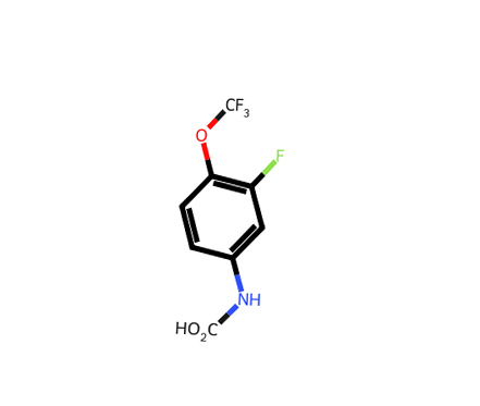 O=C(O)Nc1ccc(OC(F)(F)F)c(F)c1